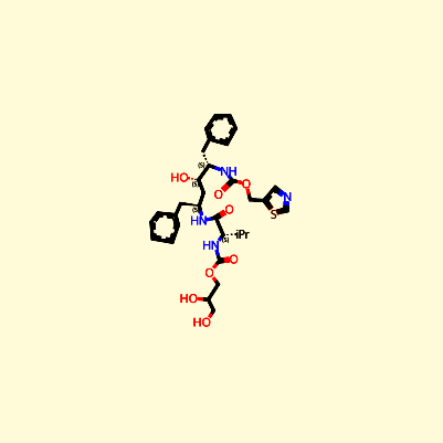 CC(C)[C@H](NC(=O)OCC(O)CO)C(=O)N[C@@H](Cc1ccccc1)C[C@H](O)[C@H](Cc1ccccc1)NC(=O)OCc1cncs1